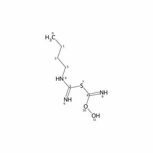 CCCCNC(=N)SC(=N)OO